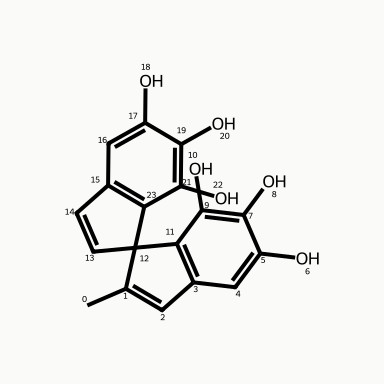 CC1=Cc2cc(O)c(O)c(O)c2C12C=Cc1cc(O)c(O)c(O)c12